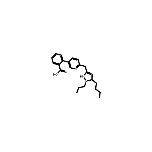 CCCCC1N=C(Cc2ccc(-c3ccccc3C(=O)O)cn2)NN1CCC